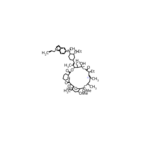 C=CCn1ccc2cc(N(C)C3CCC(C=C(C)C4OC(=O)C5CCCCN5C(=O)C(=O)C5(O)OC(C(OC)CC(C)C/C(C)=C/C(CC)C(=O)CC(O)C4C)C(OC)CC5C)CC3OCC)ccc21